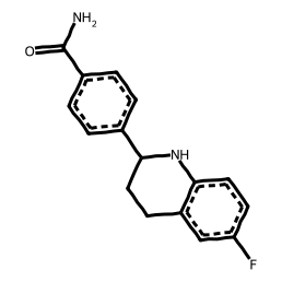 NC(=O)c1ccc(C2CCc3cc(F)ccc3N2)cc1